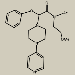 COCCN(C(C)=O)C(=O)C(Oc1ccccc1)N1CCN(c2ccncc2)CC1